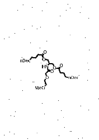 CCCCCCCCCCCCCC(=O)OCC(COC(=O)CCCCCCCCCCCCC)NC(=O)COCCOC